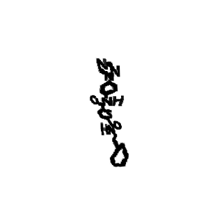 O=C(NCCc1ccccc1)c1ccc(C(=O)Nc2ccc(-n3cncn3)cc2)s1